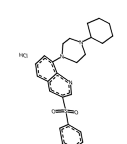 Cl.O=S(=O)(c1ccccc1)c1cnc2c(N3CCN(C4CCCCC4)CC3)cccc2c1